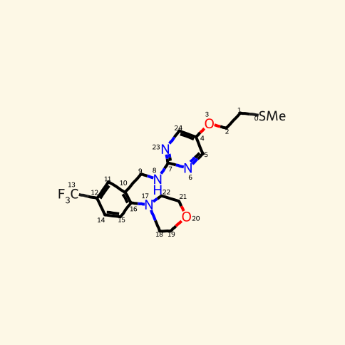 CSCCOc1cnc(NCc2cc(C(F)(F)F)ccc2N2CCOCC2)nc1